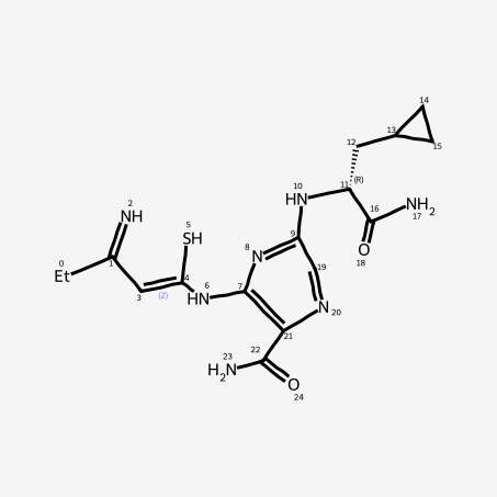 CCC(=N)/C=C(\S)Nc1nc(N[C@H](CC2CC2)C(N)=O)cnc1C(N)=O